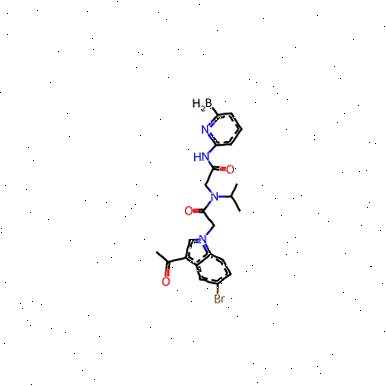 Bc1cccc(NC(=O)CN(C(=O)Cn2cc(C(C)=O)c3cc(Br)ccc32)C(C)C)n1